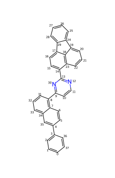 c1ccc(-c2ccc3c(-c4ccnc(-c5ccc6c7c(cccc57)-c5ccccc5-6)n4)cccc3c2)cc1